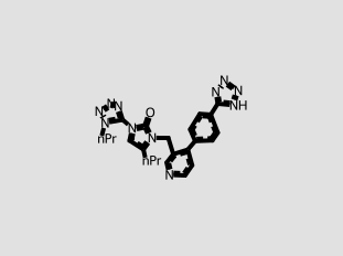 CCCc1cn(-c2nnnn2CCC)c(=O)n1Cc1cnccc1-c1ccc(-c2nnn[nH]2)cc1